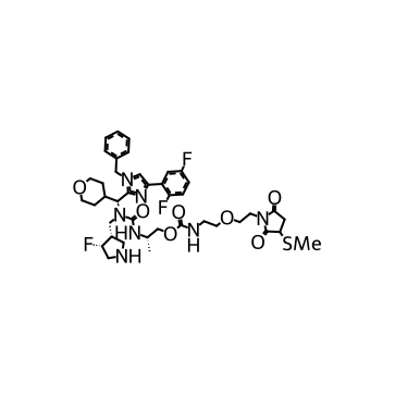 CSC1CC(=O)N(CCOCCNC(=O)OC[C@H](C)NC(=O)N(C[C@@H]2CNC[C@@H]2F)[C@@H](c2nc(-c3cc(F)ccc3F)cn2Cc2ccccc2)C2CCOCC2)C1=O